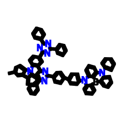 Cc1ccc2c(c1)c1ccccc1n2-c1ccc(-c2nc(-c3ccccc3)nc(-c3ccccc3)n2)cc1-c1cc(-c2ccccc2)nc(-c2ccc(-c3ccc(N4c5ccccc5B5c6ccccc6N(c6ccccc6)c6cccc4c65)cc3)cc2)n1